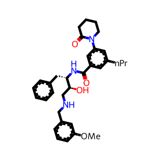 CCCc1cc(C(=O)N[C@@H](Cc2ccccc2)[C@@H](O)CNCc2cccc(OC)c2)cc(N2CCCCC2=O)c1